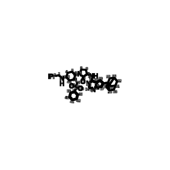 CC(C)CN[C@@H]1CC[C@H](N2CC[C@H](Nc3ncnn4cc(C56CC7CC(CC(C7)C5)C6)cc34)C2=O)[C@H](CS(=O)(=O)c2ccccc2)C1